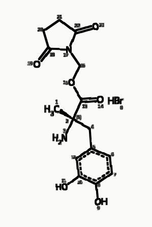 Br.C[C@](N)(Cc1ccc(O)c(O)c1)C(=O)OCN1C(=O)CCC1=O